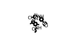 C=CC(=O)Nc1cc2c(C)cn(-c3nc(Nc4ccc(N5CCOCC5)cc4)ncc3Cl)c2cc1C